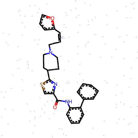 O=C(Nc1ccccc1-c1ccccc1)c1csc(C2CCN(C/C=C\c3ccco3)CC2)n1